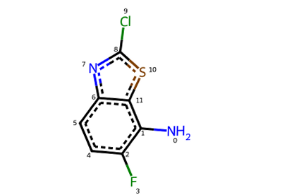 Nc1c(F)ccc2nc(Cl)sc12